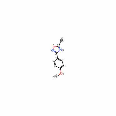 CCCOc1ccc(-c2noc(CC)n2)cc1